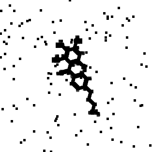 CCCCc1ccc(C(=O)c2c(Br)cc(O)c(O)c2O)cc1